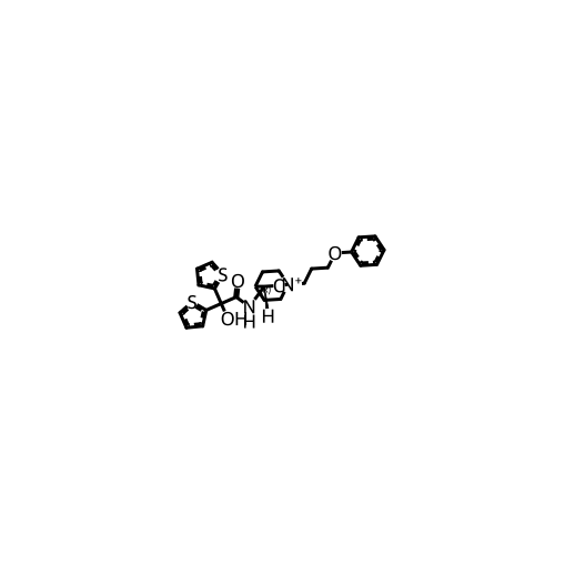 O=C(N[C@H]1C[N+]2(CCCOc3ccccc3)CCC1CC2)C(O)(c1cccs1)c1cccs1